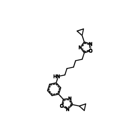 c1cc(NCCCCCc2nc(C3CC3)no2)cc(-c2nc(C3CC3)no2)c1